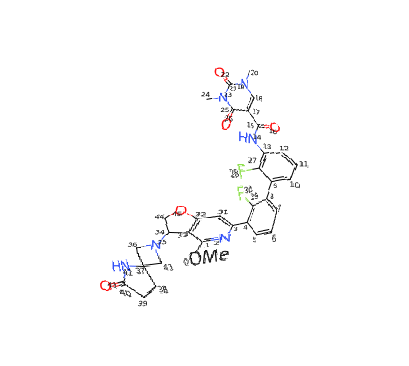 COc1nc(-c2cccc(-c3cccc(NC(=O)c4cn(C)c(=O)n(C)c4=O)c3F)c2F)cc2c1C(N1CC3(CCC(=O)N3)C1)CO2